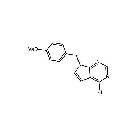 COc1ccc(Cn2ccc3c(Cl)ncnc32)cc1